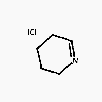 C1=NCCCC1.Cl